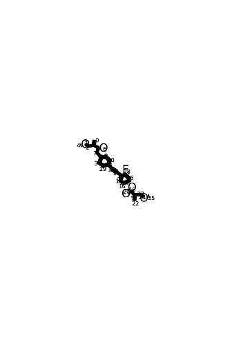 C=C(COC)C(=O)Cc1ccc(C#Cc2ccc(OC(=O)C(=C)COC)cc2F)cc1